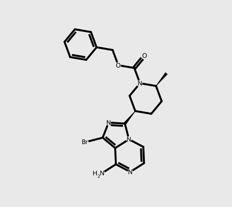 C[C@H]1CC[C@@H](c2nc(Br)c3c(N)nccn23)CN1C(=O)OCc1ccccc1